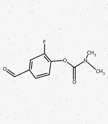 CN(C)C(=O)Oc1ccc(C=O)cc1F